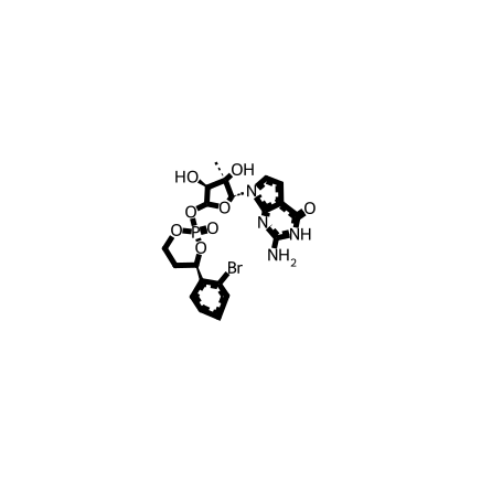 C[C@@]1(O)[C@H](O)C(OP2(=O)OCC[C@H](c3ccccc3Br)O2)O[C@H]1n1ccc2c(=O)[nH]c(N)nc21